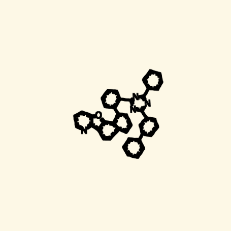 c1ccc(-c2cccc(-c3nc(-c4ccccc4)nc(-c4ccccc4-c4cccc5ccc6c7ncccc7oc6c45)n3)c2)cc1